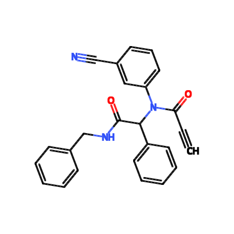 C#CC(=O)N(c1cccc(C#N)c1)C(C(=O)NCc1ccccc1)c1ccccc1